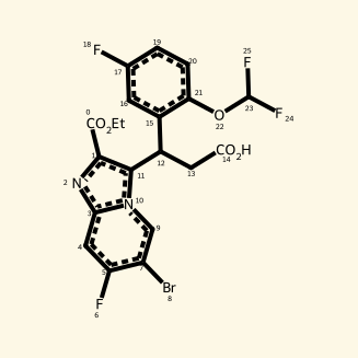 CCOC(=O)c1nc2cc(F)c(Br)cn2c1C(CC(=O)O)c1cc(F)ccc1OC(F)F